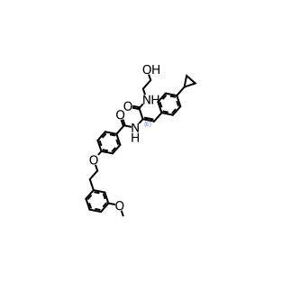 COc1cccc(CCOc2ccc(C(=O)N/C(=C/c3ccc(C4CC4)cc3)C(=O)NCCO)cc2)c1